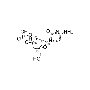 Nc1ccn([C@@H]2O[C@]3(CO)CC2S[C@H](OP(=O)(O)O)C3)c(=O)n1